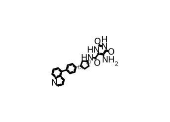 Nc1c(C(=O)N[C@@H]2CC[C@H](c3ccc(-c4cccc5ncccc45)cc3)C2)[nH]c(=O)[nH]c1=O